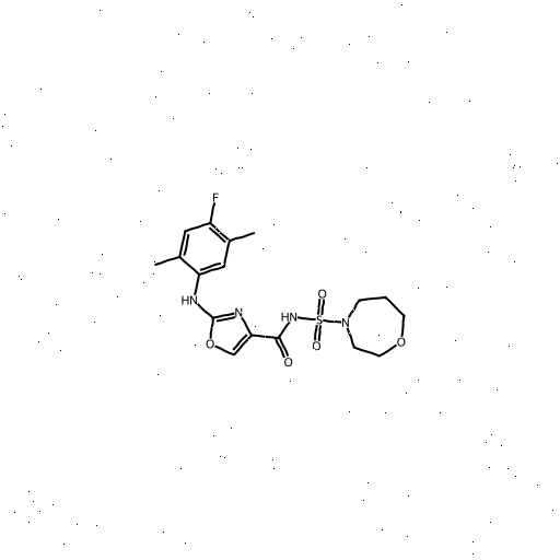 Cc1cc(Nc2nc(C(=O)NS(=O)(=O)N3CCCOCC3)co2)c(C)cc1F